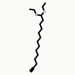 C#CCCCCCCCCCCCC(OCC)OCC